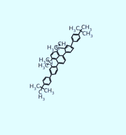 CC(C)(C)c1ccc(-c2ccc3c(c2)[Si](C)(C)c2ccc4c5c(ccc-3c25)-c2ccc(-c3ccc(C(C)(C)C)cc3)cc2[Si]4(C)C)cc1